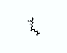 CCC(O)CNCCC(C)CCCC(C)C